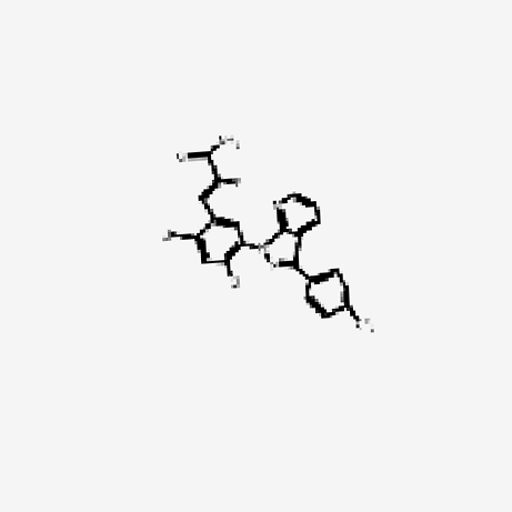 NC(=O)C(F)=Cc1cc(-n2nc(-c3ccc(C(F)(F)F)cc3)c3cccnc32)c(Cl)cc1Cl